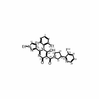 CCc1cccc(CC)c1-n1c(-c2ccn(CC)n2)nc(=O)c(C(=O)N2CCC(c3ncccc3F)C2)c1O